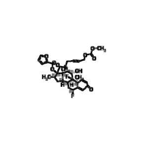 COC(=O)OCC#CCSC(=O)[C@@]1(OC(=O)c2ccco2)[C@H](C)C[C@H]2[C@@H]3C[C@H](F)C4=CC(=O)C=C[C@]4(C)[C@@]3(F)[C@@H](O)C[C@@]21C